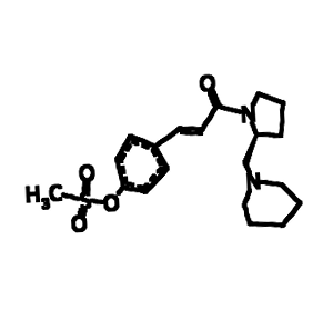 CS(=O)(=O)Oc1ccc(/C=C/C(=O)N2CCC[C@H]2CN2CCCCC2)cc1